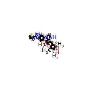 Cc1c(C)c2c(c(C)c1O)CC[C@@](C)(C(=O)C1CNCCN1c1ccc(NC(=N)c3cccs3)cc1)O2